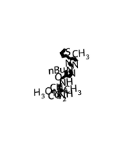 CCCCc1c(C(=O)NCc2c(C)ncn2C(C)(C)C(=O)O)cnn1-c1ncc(C)c(-c2cccs2)n1